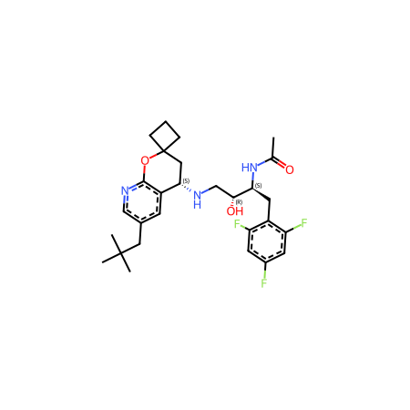 CC(=O)N[C@@H](Cc1c(F)cc(F)cc1F)[C@H](O)CN[C@H]1CC2(CCC2)Oc2ncc(CC(C)(C)C)cc21